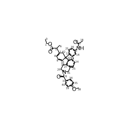 CCOC(=O)C(C)C1=CC=CC(c2ccc(NC(C)=O)cc2)(c2cccc3c2CCN(C(=O)c2ccc(OC)cc2)C3)C1